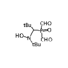 CC(C)(C)C(N(O)C(C)(C)C)P(=O)(C=O)C=O